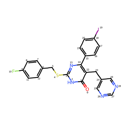 O=c1[nH]c(SCc2ccc(F)cc2)nc(-c2ccc(I)cc2)c1Cc1cncnc1